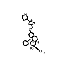 CC#C[C@@]1(O)CC[C@@]2(Cc3ccccc3)c3ccc(OCc4nc(-c5cnccn5)no4)cc3CC[C@@H]2C1